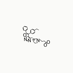 CCc1ccc(-c2c(-c3ccccc3)oc3ncnc(C[C@H]4CCCN(CCCC(=O)OC)C4)c23)cc1